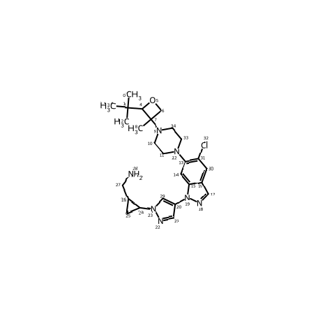 CC(C)(C)C1OCC1(C)N1CCN(c2cc3c(cnn3-c3cnn(C4CC4CN)c3)cc2Cl)CC1